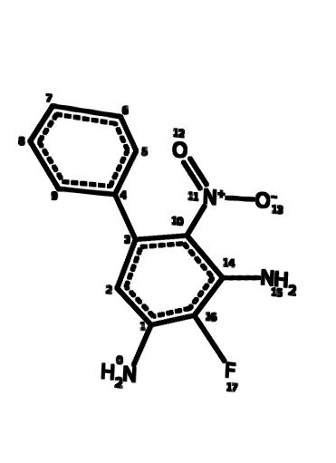 Nc1cc(-c2ccccc2)c([N+](=O)[O-])c(N)c1F